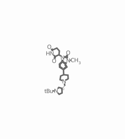 Cn1c(=O)n(C2CCC(=O)NC2=O)c2ccc(C3CCN(C[C@@H]4CCN(C(C)(C)C)C4)CC3)cc21